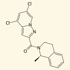 C[C@@H]1c2ccccc2CCN1C(=O)c1cc2c(Cl)cc(Cl)cn2n1